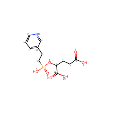 O=C(O)CCC(OP(=O)(O)CCc1cccnc1)C(=O)O